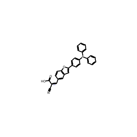 N#C/C(=C/c1ccc2oc(-c3ccc(N(c4ccccc4)c4ccccc4)cc3)cc2c1)C(=O)O